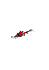 CC#CCOc1ccc(C[C@H](NC(=O)[C@@H](/C=C/CCCCCCC(=O)CCCCCCC)[C@@](O)(CC(=O)NCCSC)C(=O)O)C(=O)OC)cc1